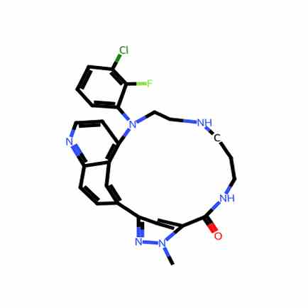 Cn1nc2cc1C(=O)NCCCNCCN(c1cccc(Cl)c1F)c1ccnc3ccc-2cc13